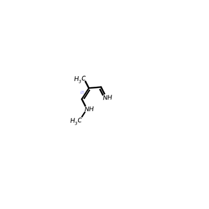 CN/C=C(/C)C=N